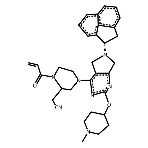 C=CC(=O)N1CCN(c2nc(OC3CCN(C)CC3)nc3c2CN([C@H]2Cc4cccc5cccc2c45)C3)CC1CC#N